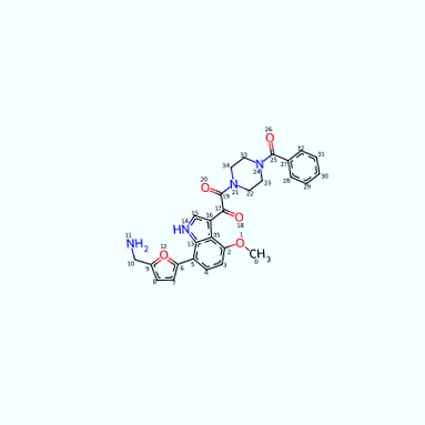 COc1ccc(-c2ccc(CN)o2)c2[nH]cc(C(=O)C(=O)N3CCN(C(=O)c4ccccc4)CC3)c12